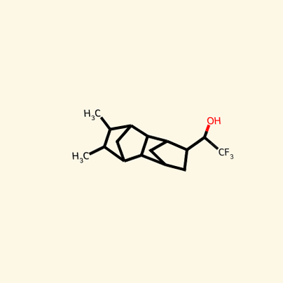 CC1C(C)C2CC1C1C3CC(C(C(O)C(F)(F)F)C3)C21